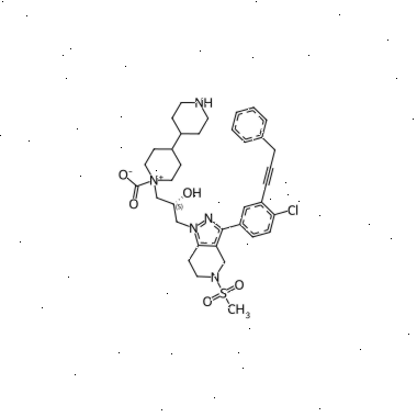 CS(=O)(=O)N1CCc2c(c(-c3ccc(Cl)c(C#CCc4ccccc4)c3)nn2C[C@@H](O)C[N+]2(C(=O)[O-])CCC(C3CCNCC3)CC2)C1